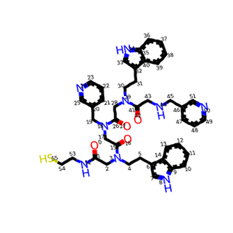 O=C(CN(CCc1c[nH]c2ccccc12)C(=O)CN(Cc1cccnc1)C(=O)CN(CCc1c[nH]c2ccccc12)C(=O)CNCc1cccnc1)NCCS